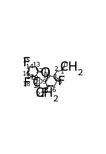 C=CCc1c(F)cc(F)cc1Oc1cc(F)cc(F)c1CC=C